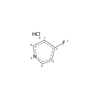 Cl.Fc1ccncc1